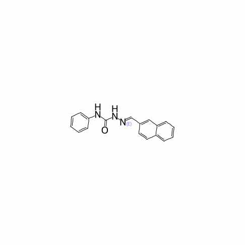 O=C(N/N=C/c1ccc2ccccc2c1)Nc1ccccc1